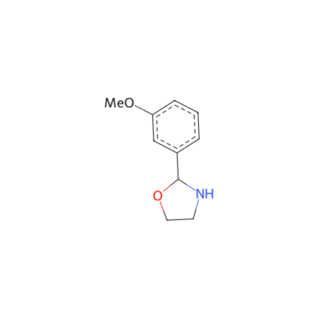 COc1cccc(C2NCCO2)c1